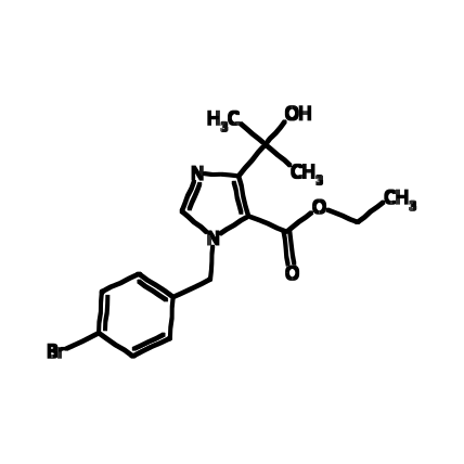 CCOC(=O)c1c(C(C)(C)O)ncn1Cc1ccc(Br)cc1